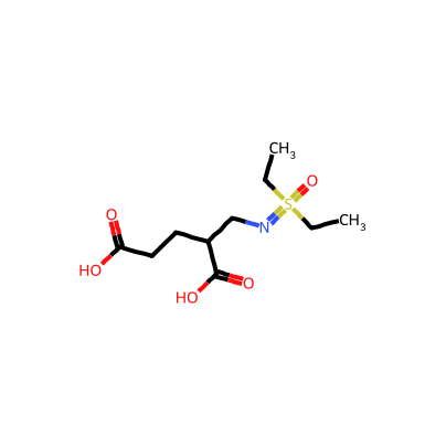 CCS(=O)(CC)=NCC(CCC(=O)O)C(=O)O